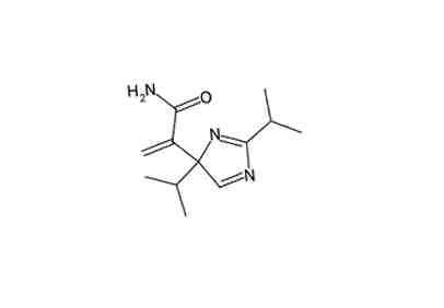 C=C(C(N)=O)C1(C(C)C)C=NC(C(C)C)=N1